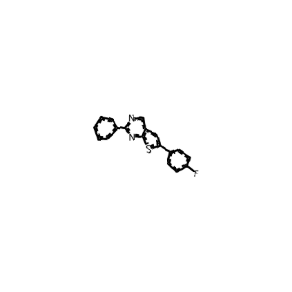 Fc1ccc(-c2cc3cnc(-c4ccccc4)nc3s2)cc1